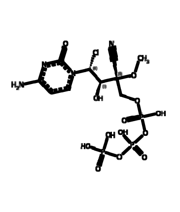 CO[C@](C#N)(COP(=O)(O)OP(=O)(O)OP(=O)(O)O)[C@@H](O)[C@@H](Cl)n1ccc(N)nc1=O